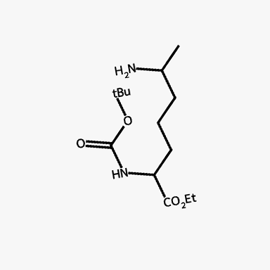 CCOC(=O)C(CCCC(C)N)NC(=O)OC(C)(C)C